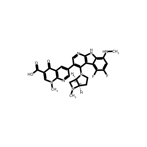 CNc1cc(F)c(F)c2c1[nH]c1ncc(-c3cnc4c(c3)c(=O)c(C(=O)O)cn4C)c(N3CC[C@@H]4[C@H]3CN4C)c12